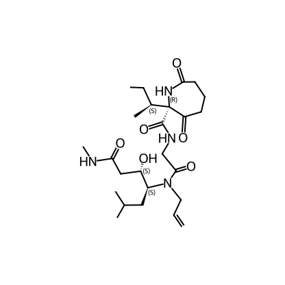 C=CCN(C(=O)CNC(=O)[C@]1([C@@H](C)CC)NC(=O)CCCC1=O)[C@@H](CC(C)C)[C@@H](O)CC(=O)NC